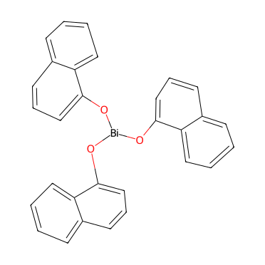 c1ccc2c([O][Bi]([O]c3cccc4ccccc34)[O]c3cccc4ccccc34)cccc2c1